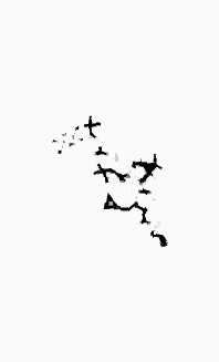 C=CCNC(=O)C(=O)C(CC1CC1)NC(=O)[C@@H]1[C@@H]2[C@H](CN1C(=O)[C@@H](NC(=O)N[C@H](CN(C)S(=O)(=O)N(C)C)C(C)(C)C)C(C)(C)C)C2(C)C